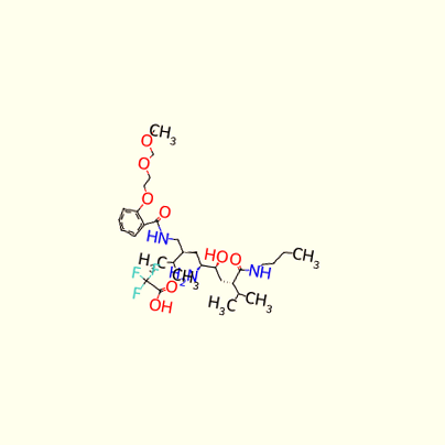 CCCCNC(=O)[C@@H](C[C@H](O)[C@@H](N)C[C@H](CNC(=O)c1ccccc1OCCOCOC)C(C)C)C(C)C.O=C(O)C(F)(F)F